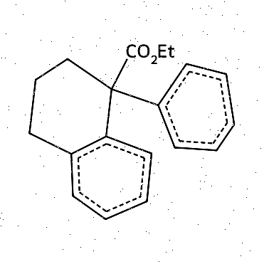 CCOC(=O)C1(c2ccccc2)CCCc2ccccc21